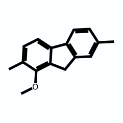 COc1c(C)ccc2c1Cc1cc(C)ccc1-2